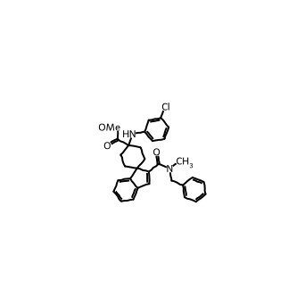 COC(=O)C1(Nc2cccc(Cl)c2)CCC2(CC1)C(C(=O)N(C)Cc1ccccc1)=Cc1ccccc12